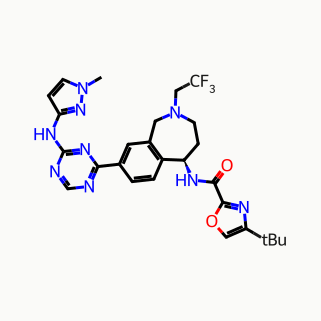 Cn1ccc(Nc2ncnc(-c3ccc4c(c3)CN(CC(F)(F)F)CC[C@H]4NC(=O)c3nc(C(C)(C)C)co3)n2)n1